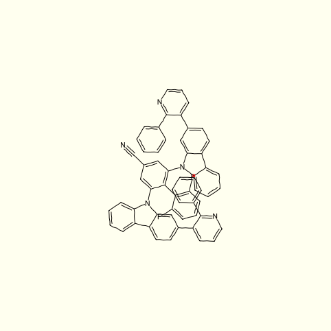 N#Cc1cc(-n2c3ccccc3c3ccc(-c4cccnc4-c4ccccc4)cc32)c(-c2c(F)cccc2F)c(-n2c3ccccc3c3ccc(-c4cccnc4-c4ccccc4)cc32)c1